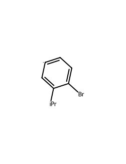 CC(C)c1c[c]ccc1Br